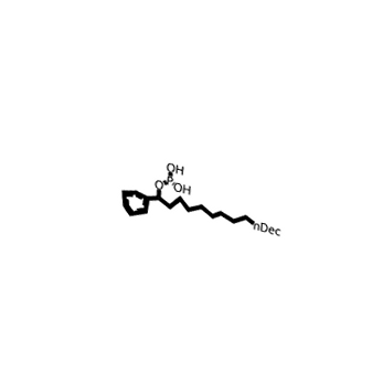 CCCCCCCCCCCCCCCCCCC(OP(O)O)c1ccccc1